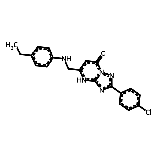 CCc1ccc(NCc2cc(=O)n3nc(-c4ccc(Cl)cc4)nc3[nH]2)cc1